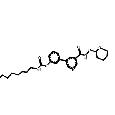 CCCCCCCCNC(=O)Oc1cccc(-c2cncc(C(=O)NOC3CCCCO3)c2)c1